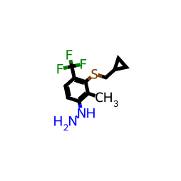 Cc1c(NN)ccc(C(F)(F)F)c1SCC1CC1